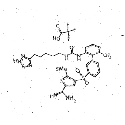 CSc1sc(C(=N)N)cc1S(=O)(=O)c1cccc(-c2c(C)cccc2NC(=O)NCCCCCc2nn[nH]n2)c1.O=C(O)C(F)(F)F